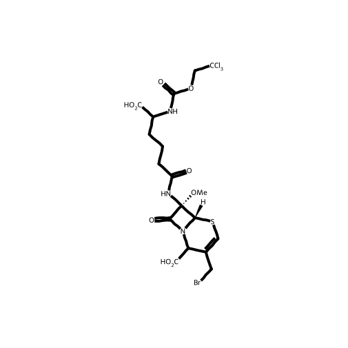 CO[C@@]1(NC(=O)CCCC(NC(=O)OCC(Cl)(Cl)Cl)C(=O)O)C(=O)N2C(C(=O)O)C(CBr)=CS[C@H]21